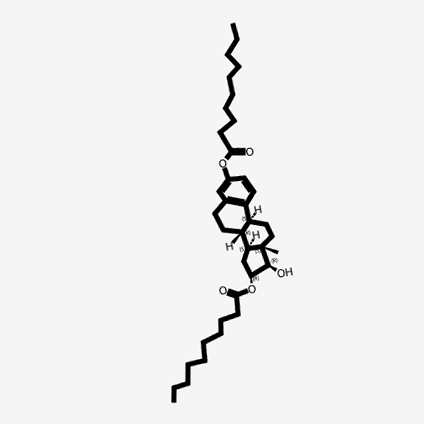 CCCCCCCCCC(=O)Oc1ccc2c(c1)CC[C@@H]1[C@@H]2CC[C@]2(C)[C@@H](O)[C@H](OC(=O)CCCCCCCCC)C[C@@H]12